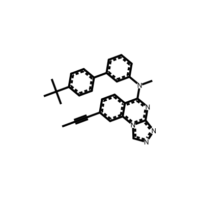 CC#Cc1ccc2c(N(C)c3cccc(-c4ccc(C(C)(C)C)cc4)c3)nc3nncn3c2c1